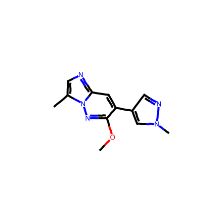 COc1nn2c(C)cnc2cc1-c1cnn(C)c1